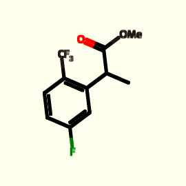 COC(=O)C(C)c1cc(F)ccc1C(F)(F)F